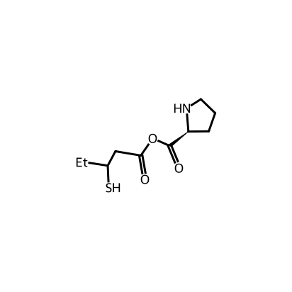 CCC(S)CC(=O)OC(=O)[C@@H]1CCCN1